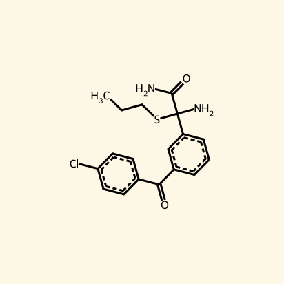 CCCSC(N)(C(N)=O)c1cccc(C(=O)c2ccc(Cl)cc2)c1